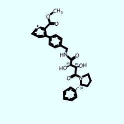 COC(=O)c1sccc1-c1ccc(CNC(=O)[C@H](O)[C@@H](O)C(=O)N2CCC[C@@H]2c2ccccc2)cc1